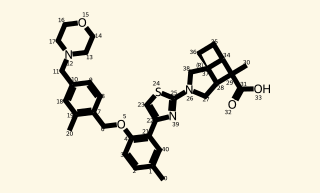 Cc1ccc(OCc2ccc(CN3CCOCC3)cc2C)c(-c2csc(N3CC4C(C)(C(=O)O)C5CC[C@@]54C3)n2)c1